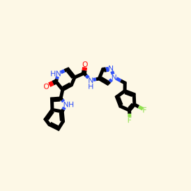 O=C(Nc1cnn(Cc2ccc(F)c(F)c2)c1)c1c[nH]c(=O)c(-c2cc3ccccc3[nH]2)c1